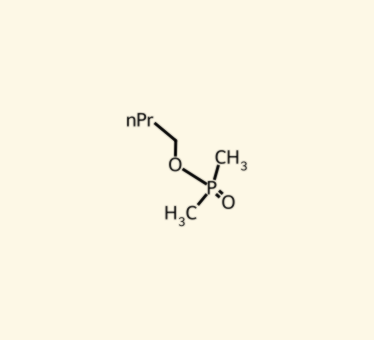 CCCCOP(C)(C)=O